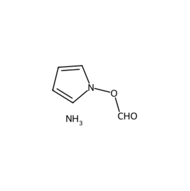 N.O=COn1cccc1